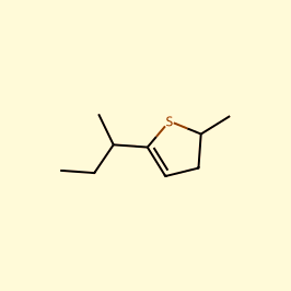 CCC(C)C1=CCC(C)S1